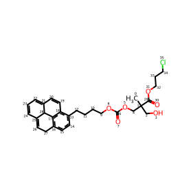 CC(CO)(COC(=O)OCCCCc1ccc2c3c1C=CC1=CC=CC(=CC2)C13)C(=O)OCCCCl